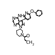 C=CC(=O)N1CCC[C@@H](n2nc(-c3ccc(Oc4ccccc4)nc3)c3c(N)ncnc32)C1